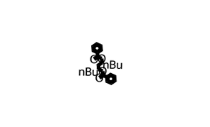 CCCCC(CC(CCCC)OC(=O)c1ccccc1)OC(=O)c1ccccc1